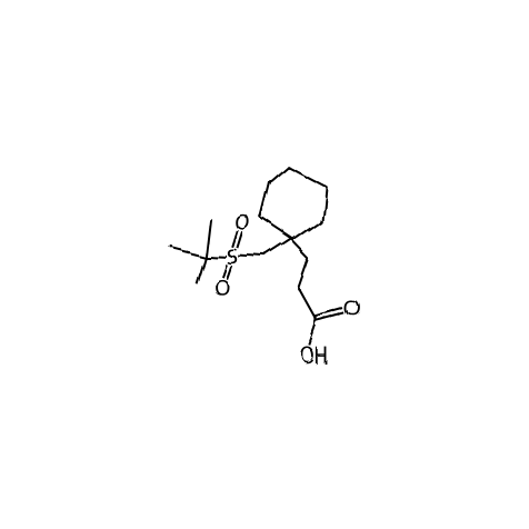 CC(C)(C)S(=O)(=O)CC1(CCC(=O)O)CCCCC1